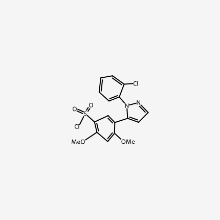 COc1cc(OC)c(S(=O)(=O)Cl)cc1-c1ccnn1-c1ccccc1Cl